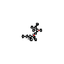 c1ccc(-c2ccc(-c3ccc(-c4nc(-c5ccccc5)nc(-c5ccc(-c6cc(-c7ccccc7)cc(-c7cc(-c8ccccc8)cc(-c8ccccc8)c7-c7ccccc7)c6)cc5)n4)c4c3oc3ccccc34)cc2)cc1